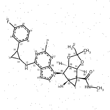 CNC(=O)[C@@]12C[C@@H]1[C@@H](n1cnc3c(NC4CC4c4cccc(F)c4)nc(I)nc31)[C@H]1OC(C)(C)O[C@H]12